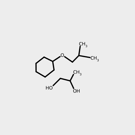 CC(C)COC1CCCCC1.CC(O)CO